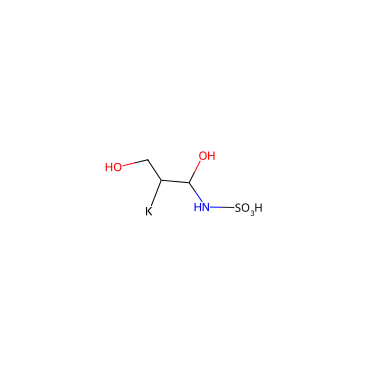 O=S(=O)(O)NC(O)[CH]([K])CO